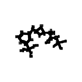 CC(C)(C)OC(=O)N[C@H]1C[C@@H](Sc2cccc(C(F)(F)F)c2)C1